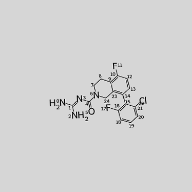 NC(N)=NC(=O)N1CCc2c(F)ccc(-c3c(F)cccc3Cl)c2C1